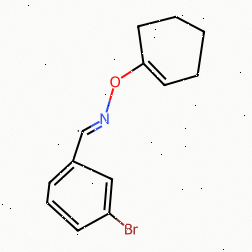 Brc1cccc([C]=NOC2=CCCCC2)c1